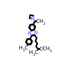 C=C=C(C)CCCCc1nc2cc(C(=C)N3CCC3)ccc2nc1-c1ccc(C)cc1